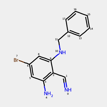 N=Cc1c(N)cc(Br)cc1NCc1ccccc1